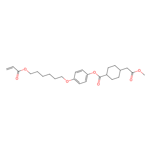 C=CC(=O)OCCCCCCOc1ccc(OC(=O)C2CCC(CC(=O)OC)CC2)cc1